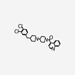 O=C(c1ccnc2ccccc12)N1CCC(N2CCC(Cc3ccc(Cl)c(Cl)c3)CC2)CC1